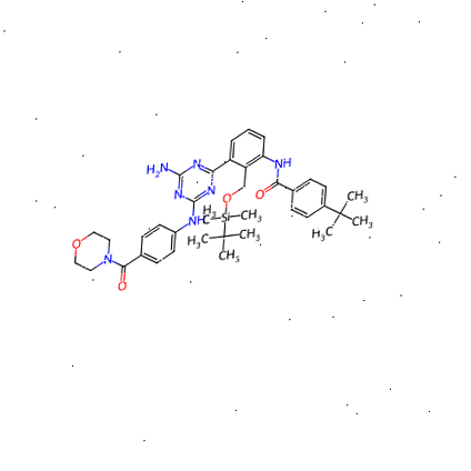 CC(C)(C)c1ccc(C(=O)Nc2cccc(-c3nc(N)nc(Nc4ccc(C(=O)N5CCOCC5)cc4)n3)c2CO[Si](C)(C)C(C)(C)C)cc1